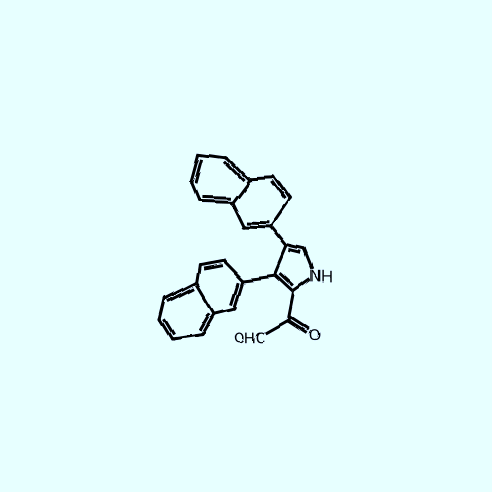 O=CC(=O)c1[nH]cc(-c2ccc3ccccc3c2)c1-c1ccc2ccccc2c1